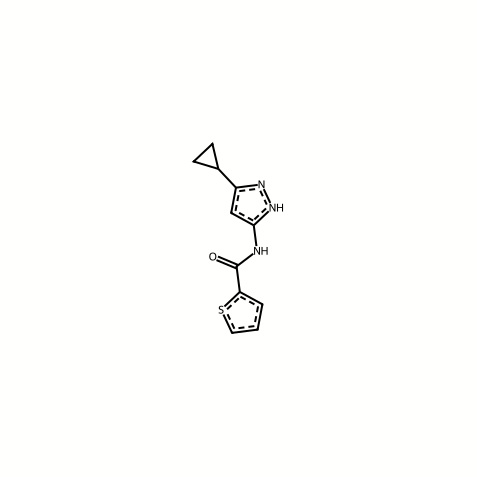 O=C(Nc1cc(C2CC2)n[nH]1)c1cccs1